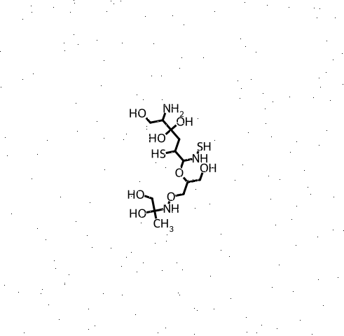 CC(O)(CO)NOCC(CO)OC(NS)C(S)CC(O)(O)C(N)CO